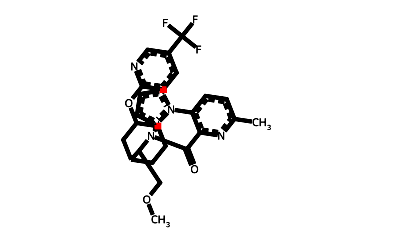 COCC1C2CCC(C(Oc3ccc(C(F)(F)F)cn3)C2)N1C(=O)c1nc(C)ccc1-n1nccn1